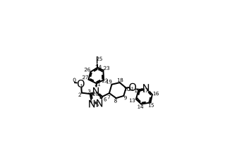 COCc1nnc(C2CCC(Oc3ccccn3)CC2)n1-c1ccc(I)cc1